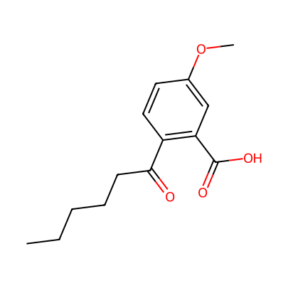 CCCCCC(=O)c1ccc(OC)cc1C(=O)O